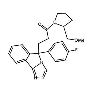 COCC1CCCN1C(=O)CCC1(c2ccc(F)cc2)c2ccccc2-c2nccn21